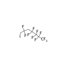 FC(F)(CI)CC(F)(F)C(F)(F)C(F)(F)C(F)(F)F